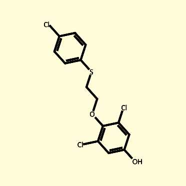 Oc1cc(Cl)c(OCCSc2ccc(Cl)cc2)c(Cl)c1